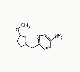 COC1CCN(Cc2ccc(N)cn2)C1